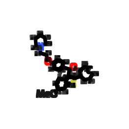 COc1ccc2c(C(=O)c3ccc(OCCN4CCCCC4)cc3)c(C3CCCCCC3)sc2c1